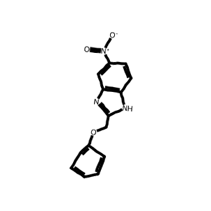 O=[N+]([O-])c1ccc2[nH]c(COc3ccccc3)nc2c1